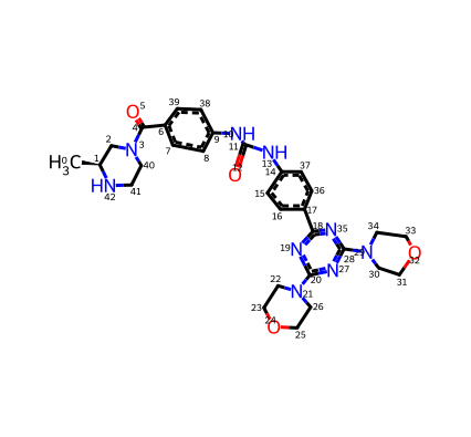 C[C@H]1CN(C(=O)c2ccc(NC(=O)Nc3ccc(-c4nc(N5CCOCC5)nc(N5CCOCC5)n4)cc3)cc2)CCN1